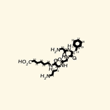 NCCC[C@@H](NC(=O)CNC(=O)[C@@H](Cc1ccccc1)NC(=O)CN)C(=O)NCCCCCC(=O)O